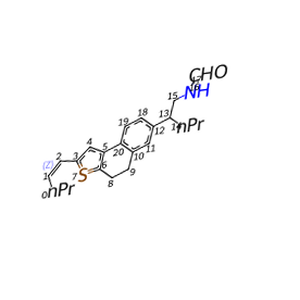 CCC/C=C\c1cc2c(s1)CCc1cc(C(CCC)CNC=O)ccc1-2